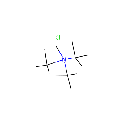 CC(C)(C)[N+](C)(C(C)(C)C)C(C)(C)C.[Cl-]